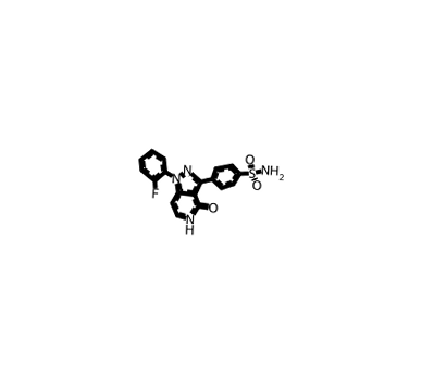 NS(=O)(=O)c1ccc(-c2nn(-c3ccccc3F)c3cc[nH]c(=O)c23)cc1